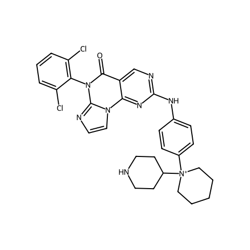 O=c1c2cnc(Nc3ccc([N+]4(C5CCNCC5)CCCCC4)cc3)nc2n2ccnc2n1-c1c(Cl)cccc1Cl